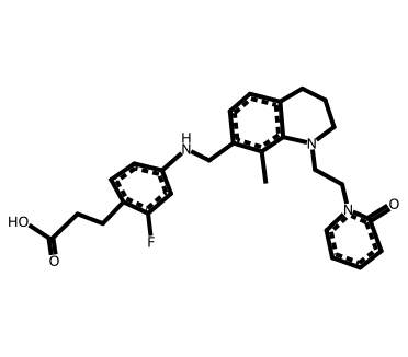 Cc1c(CNc2ccc(CCC(=O)O)c(F)c2)ccc2c1N(CCn1ccccc1=O)CCC2